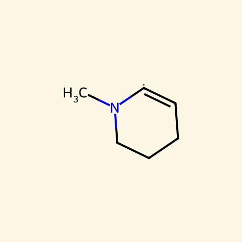 CN1[C]=CCCC1